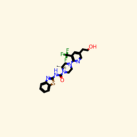 C[C@@H]1CN(c2ncc(CCO)cc2C(F)(F)F)CCN1C(=O)Nc1nc2ccccc2s1